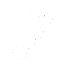 Cc1ncc(NC(=O)CN2CCCCC2)cc1N